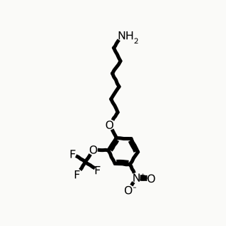 NCCCCCCOc1ccc([N+](=O)[O-])cc1OC(F)(F)F